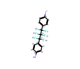 FC(F)(c1ccc(I)cc1)C(F)(F)C(F)(F)c1ccc(I)cc1